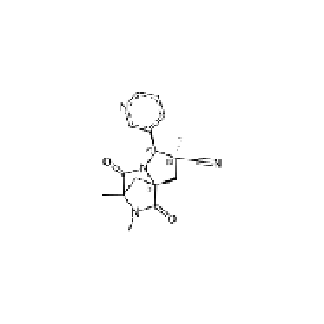 CN1C(=O)[C@]23CC1(C)C(=O)N2[C@@H](c1cccnc1)[C@@](C)(C#N)C3